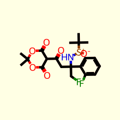 CC1(C)OC(=O)C(C(=O)CC(CF)(N[S+]([O-])C(C)(C)C)c2ccccc2F)C(=O)O1